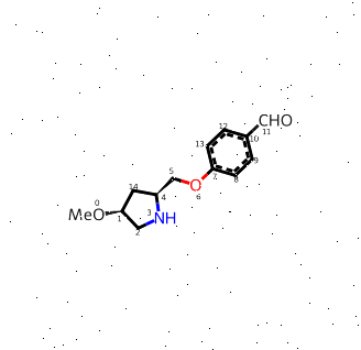 CO[C@@H]1CN[C@H](COc2ccc(C=O)cc2)C1